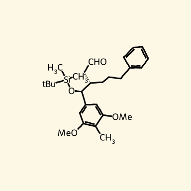 COc1cc([C@@H](O[Si](C)(C)C(C)(C)C)[C@H](CC=O)CCCc2ccccc2)cc(OC)c1C